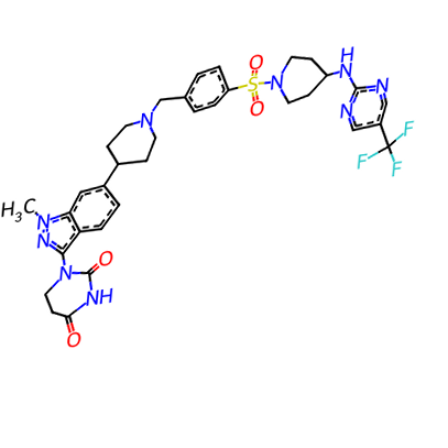 Cn1nc(N2CCC(=O)NC2=O)c2ccc(C3CCN(Cc4ccc(S(=O)(=O)N5CCC(Nc6ncc(C(F)(F)F)cn6)CC5)cc4)CC3)cc21